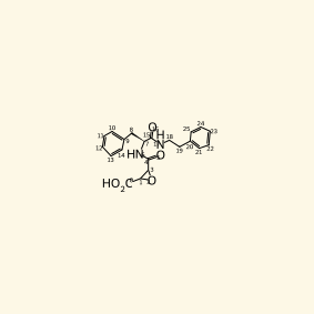 O=C(O)C1OC1C(=O)N[C@@H](Cc1ccccc1)C(=O)NCCc1ccccc1